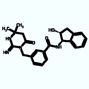 CC1(C)CC(=O)N(Cc2cccc(C(=O)N[C@@H]3c4ccccc4C[C@H]3O)c2)C(=N)N1